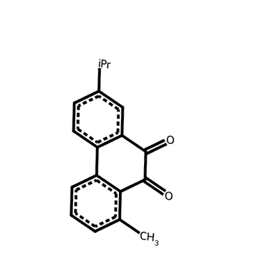 Cc1cccc2c1C(=O)C(=O)c1cc(C(C)C)ccc1-2